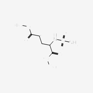 CC(C)(C)OC(=O)CCC(NS(N)(=O)=O)C(=O)OC(C)(C)C